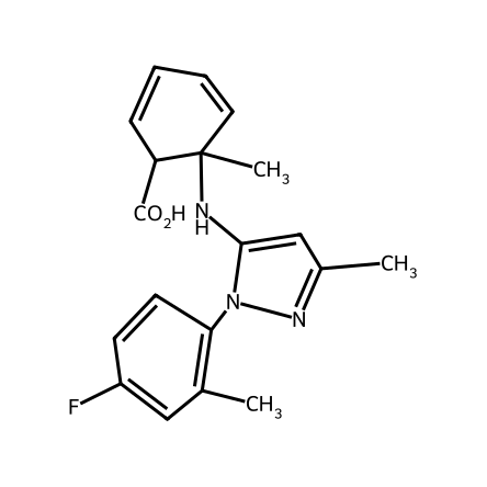 Cc1cc(NC2(C)C=CC=CC2C(=O)O)n(-c2ccc(F)cc2C)n1